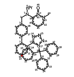 CCCN(Cc1ccc(-c2ccccc2-c2nnnn2C(c2ccccc2)(c2ccccc2)c2ccccc2)cc1)c1cccn(C)[n+]1=O